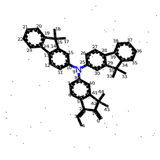 C=C1/C(=C\C)c2ccc(N(c3ccc4c(c3)C(C)(C)c3ccccc3-4)c3ccc4c(c3)C(C)(C)c3ccccc3-4)cc2C1(C)C